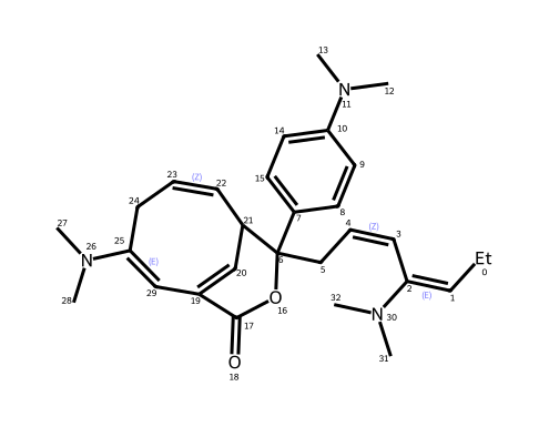 CC/C=C(\C=C/CC1(c2ccc(N(C)C)cc2)OC(=O)C2=CC1/C=C\C/C(N(C)C)=C\2)N(C)C